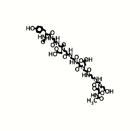 CC(=O)NCC(=O)N(CC(=O)O)CC(=O)NCCNC(=O)CN(CC(=O)O)C(=O)CNC(=O)CNC(=O)CN(CC(=O)O)C(=O)CNC(=O)CNC(=O)[C@H](Cc1ccc(O)cc1)NC=O